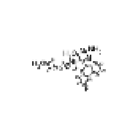 Cc1nc(N)nc2c1/C(=N/OCCC1CN(C)C1)CC(c1ccc(F)cc1-c1cccnc1)C2